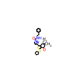 CC1(C)CC(=O)c2c(SC3CCCC3)sc(-c3ccn(C(=O)NCCc4ccccc4)n3)c2C1